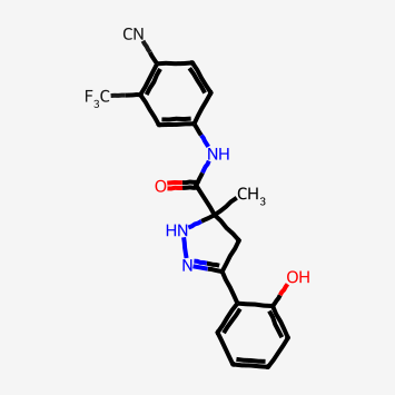 [C-]#[N+]c1ccc(NC(=O)C2(C)CC(c3ccccc3O)=NN2)cc1C(F)(F)F